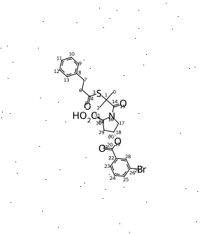 CC(C)(SC(=O)CCc1ccccc1)C(=O)N1C[C@H](OC(=O)c2cccc(Br)c2)C[C@H]1C(=O)O